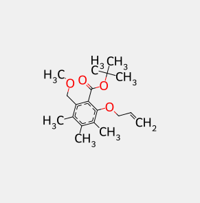 C=CCOc1c(C)c(C)c(C)c(COC)c1C(=O)OC(C)(C)C